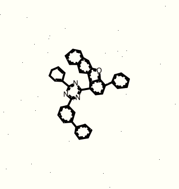 C1=CC(c2nc(-c3cccc(-c4ccccc4)c3)nc(-c3ccc(-c4ccccc4)c4oc5cc6ccccc6cc5c34)n2)=CCC1